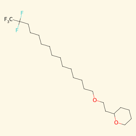 FC(F)(F)C(F)(F)CCCCCCCCCCCCCOCCC1CCCCO1